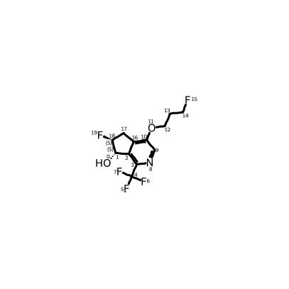 O[C@H]1c2c(C(F)(F)F)ncc(OCCCF)c2C[C@@H]1F